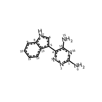 Nc1nnc(-c2c[nH]c3ccccc23)c(N)n1